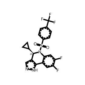 O=S(=O)(c1ccc(C(F)(F)F)cc1)N1c2cc(F)c(F)cc2-c2[nH]ncc2[C@H]1C1CC1